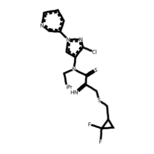 CC(C)CN(C(=S)C(=N)CSCC1CC1(F)F)c1cn(-c2cccnc2)nc1Cl